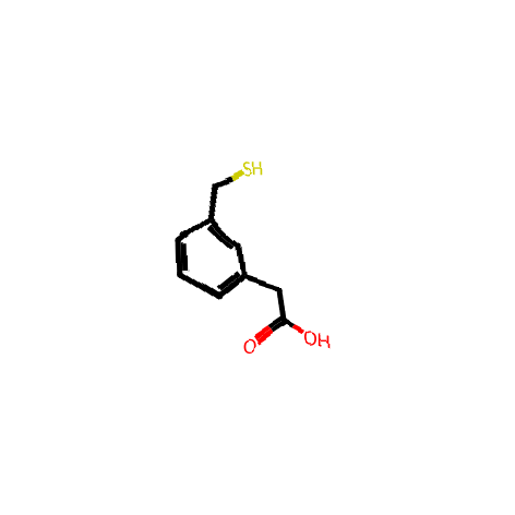 O=C(O)Cc1cccc(CS)c1